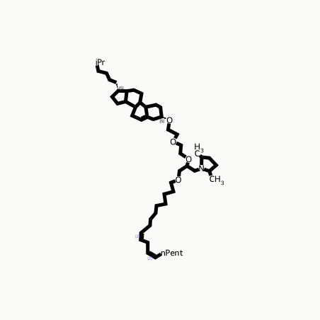 CCCCC/C=C\C/C=C\CCCCCCCCOCC(CN1C(C)CCC1C)OCCOCCO[C@H]1CCC2C(=CCC3C2CCC2C3CC[C@@H]2CCCCC(C)C)C1